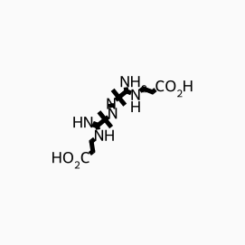 CC(C)(N=NC(C)(C)C(N)NCCC(=O)O)C(=N)NCCC(=O)O